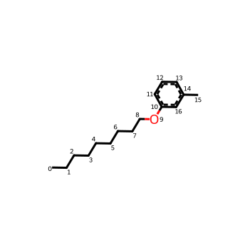 CCCCCCCCCOc1cccc(C)c1